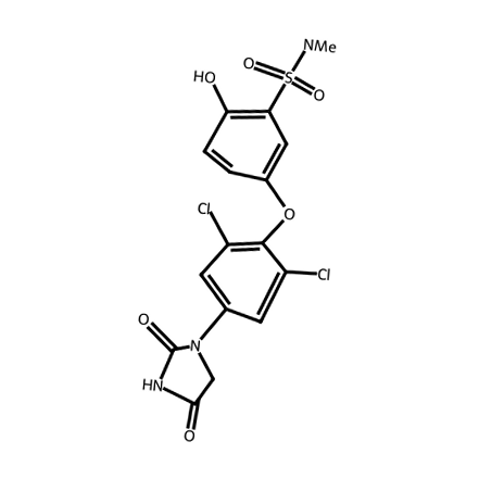 CNS(=O)(=O)c1cc(Oc2c(Cl)cc(N3CC(=O)NC3=O)cc2Cl)ccc1O